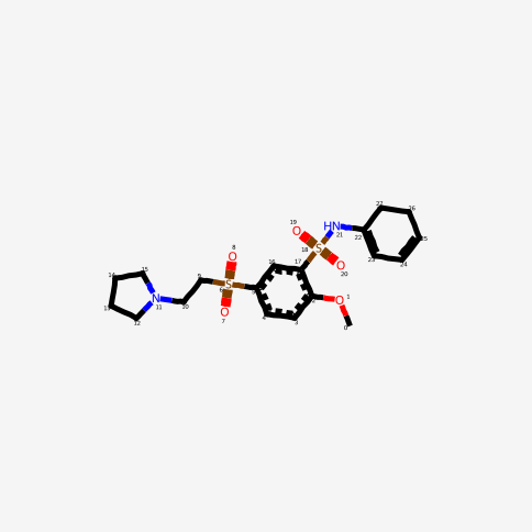 COc1ccc(S(=O)(=O)CCN2CCCC2)cc1S(=O)(=O)NC1=CC=CC[CH]1